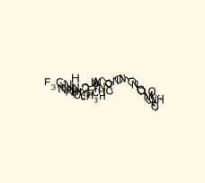 Cc1c(C(=O)N/C(N)=N/C(=N)C(F)(F)F)ccc(-c2nn3c(c2C=O)Nc2ccc(N4CCN(CC5CCN(c6ccc(N7CCC(=O)NC7=O)cc6)CC5)CC4)cc2CC3)c1F